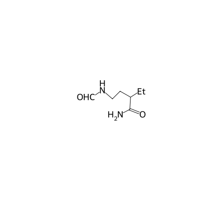 CCC(CCNC=O)C(N)=O